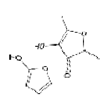 CC1=C(O)C(=O)C(C)O1.Oc1ccco1